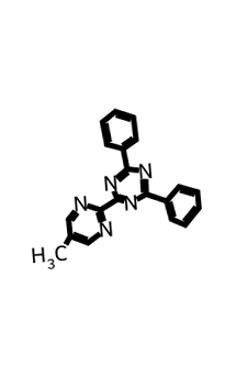 Cc1cnc(-c2nc(-c3ccccc3)nc(-c3ccccc3)n2)nc1